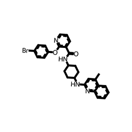 Cc1cc(NC2CCC(NC(=O)c3cccnc3Oc3ccc(Br)cc3)CC2)nc2ccccc12